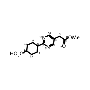 COC(=O)Cc1cnc(C2CCC(C(=O)O)CC2)nc1